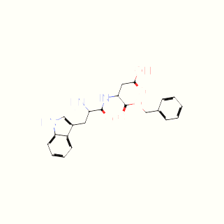 NC(Cc1c[nH]c2ccccc12)C(=O)NC(CC(=O)O)C(=O)OCc1ccccc1